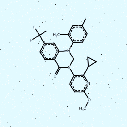 COc1ccc(N2CN(c3ccc(F)cc3C)c3cc(C(F)(F)F)ccc3C2=O)c(C2CC2)n1